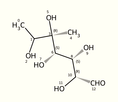 CC(O)[C@@](C)(O)[C@@H](O)[C@H](O)[C@@H](O)C=O